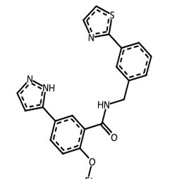 CCOc1ccc(-c2ccn[nH]2)cc1C(=O)NCc1cccc(-c2nccs2)c1